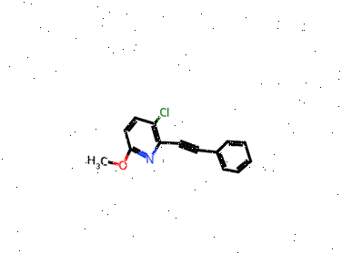 COc1ccc(Cl)c(C#Cc2ccccc2)n1